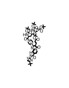 CC(C)(C)OC(=O)/C=C/c1c(N2CCN(C(=O)C(CCCN(C=NC(=O)OC(C)(C)C)NC(=O)OC(C)(C)C)NC(=O)OC(C)(C)C)CC2)nc2cc(C(=O)Nc3nc(C(C)(C)C)cs3)ccn2c1=O